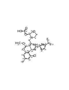 COC(=O)C1=C(CN2CCOC[C@@H]2OC(=O)O)NC(c2nc(C(F)F)cs2)=N[C@H]1c1ccc(F)cc1Cl